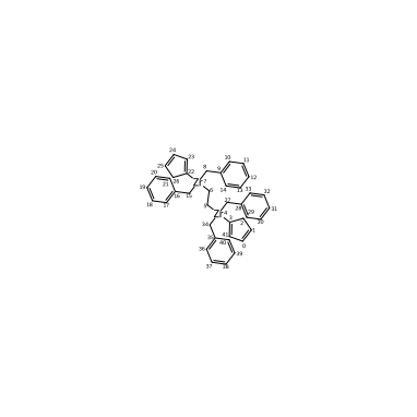 C1=CC[C]([Zr]([CH2][CH2][Zr]([CH2]c2ccccc2)([CH2]c2ccccc2)[C]2=CC=CC2)([CH2]c2ccccc2)[CH2]c2ccccc2)=C1